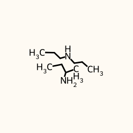 CCC(C)N.CCCNCCC